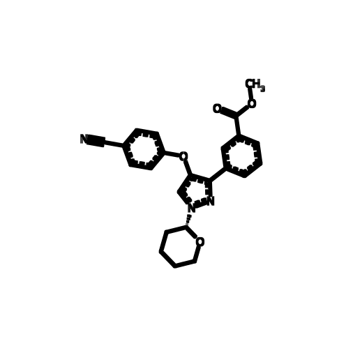 COC(=O)c1cccc(-c2nn([C@H]3CCCCO3)cc2Oc2ccc(C#N)cc2)c1